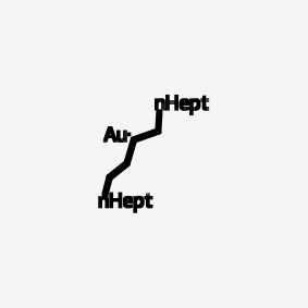 CCCCCCCCCCCCCCCCCC.[Au]